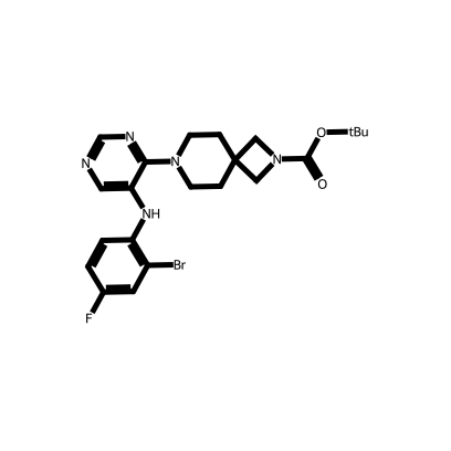 CC(C)(C)OC(=O)N1CC2(CCN(c3ncncc3Nc3ccc(F)cc3Br)CC2)C1